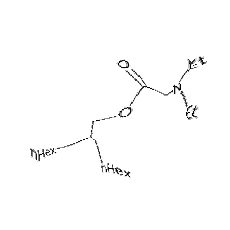 CCCCCCC(CCCCCC)COC(=O)N(CC)CC